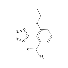 CCOc1cccc(C(N)=O)c1-c1cnno1